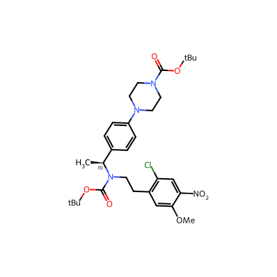 COc1cc(CCN(C(=O)OC(C)(C)C)[C@@H](C)c2ccc(N3CCN(C(=O)OC(C)(C)C)CC3)cc2)c(Cl)cc1[N+](=O)[O-]